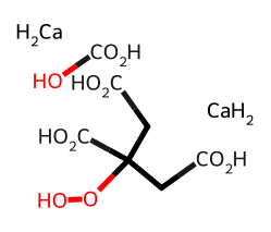 O=C(O)CC(CC(=O)O)(OO)C(=O)O.O=C(O)O.[CaH2].[CaH2]